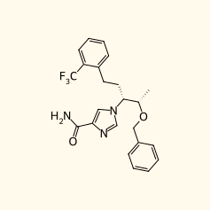 C[C@H](OCc1ccccc1)[C@@H](CCc1ccccc1C(F)(F)F)n1cnc(C(N)=O)c1